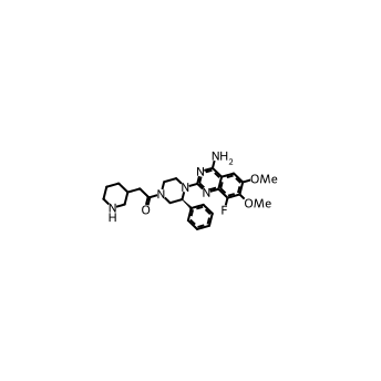 COc1cc2c(N)nc(N3CCN(C(=O)CC4CCCNC4)C[C@@H]3c3ccccc3)nc2c(F)c1OC